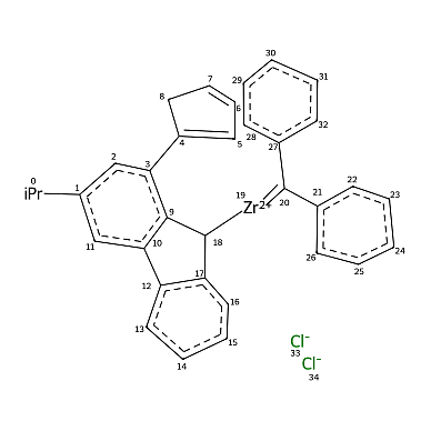 CC(C)c1cc(C2=CC=CC2)c2c(c1)-c1ccccc1[CH]2[Zr+2]=[C](c1ccccc1)c1ccccc1.[Cl-].[Cl-]